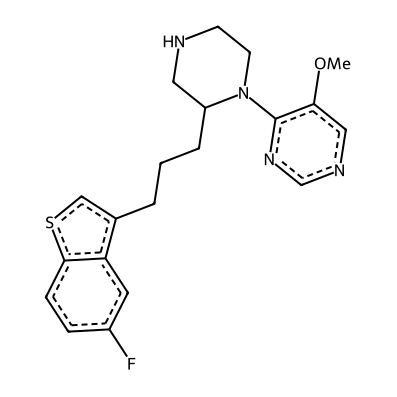 COc1cncnc1N1CCNCC1CCCc1csc2ccc(F)cc12